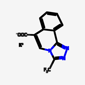 O=C([O-])c1cn2c(C(F)(F)F)nnc2c2ccccc12.[K+]